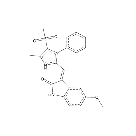 COc1ccc2c(c1)/C(=C/c1[nH]c(C)c(S(C)(=O)=O)c1-c1ccccc1)C(=O)N2